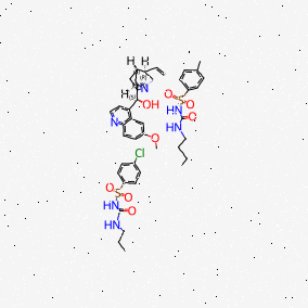 C=C[C@H]1C[N@]2CC[C@H]1C[C@@H]2[C@@H](O)c1ccnc2ccc(OC)cc12.CCCCNC(=O)NS(=O)(=O)c1ccc(C)cc1.CCCNC(=O)NS(=O)(=O)c1ccc(Cl)cc1